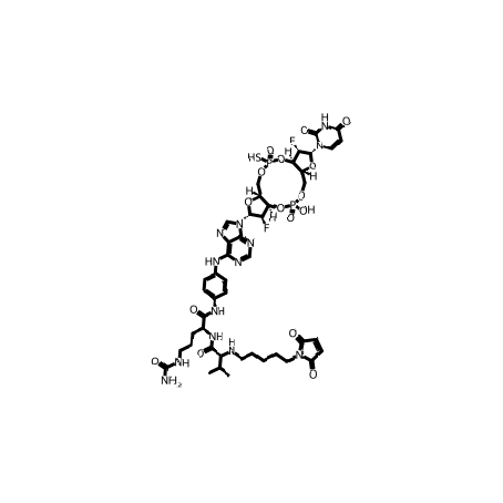 CC(C)C(NCCCCCN1C(=O)C=CC1=O)C(=O)NC(CCCNC(N)=O)C(=O)Nc1ccc(Nc2ncnc3c2ncn3[C@@H]2O[C@@H]3COP(=O)(S)O[C@H]4[C@@H](F)[C@H](n5ccc(=O)[nH]c5=O)O[C@@H]4COP(=O)(O)O[C@H]3[C@H]2F)cc1